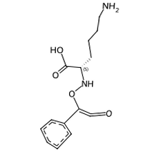 NCCCC[C@H](NOC(=C=O)c1ccccc1)C(=O)O